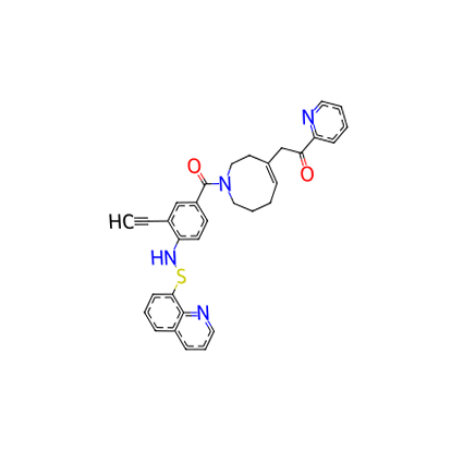 C#Cc1cc(C(=O)N2CCC/C=C(/CC(=O)c3ccccn3)CC2)ccc1NSc1cccc2cccnc12